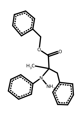 CC(Cc1ccccc1)(C(=O)OCc1ccccc1)N(N)c1ccccc1